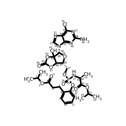 CC(C)OC(=O)CCc1ccccc1OP(=O)(N[C@@H](C)C(=O)OC(C)C)OC[C@H]1O[C@@H](n2cnc3c(Cl)nc(N)nc32)C2(C)OC(=O)OC12